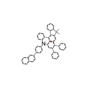 CC1(C)c2ccccc2-c2c(-c3ccccc3N(c3ccc(-c4ccc5ccccc5c4)cc3)c3ccc(-c4ccccc4)c(-c4ccccc4)c3)cccc21